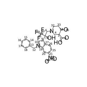 O=C(O)C1CN(CC(O)(c2cn(Cc3ccccc3)c3cc([N+](=O)[O-])ccc23)C(F)(F)F)CCC1=O